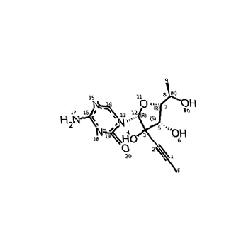 CC#CC1(O)[C@@H](O)[C@@H]([C@@H](C)O)O[C@H]1n1cnc(N)nc1=O